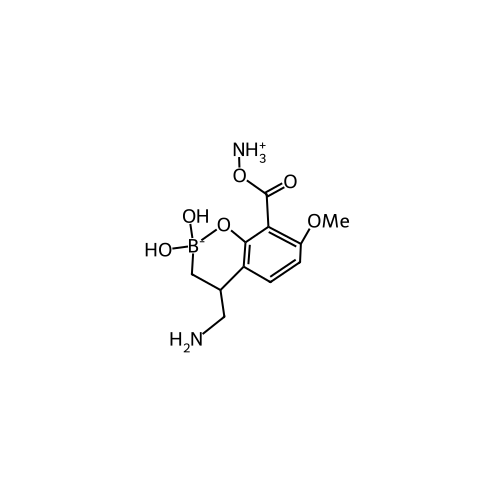 COc1ccc2c(c1C(=O)O[NH3+])O[B-](O)(O)CC2CN